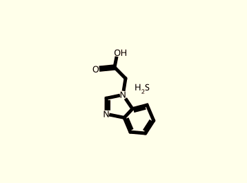 O=C(O)Cn1cnc2ccccc21.S